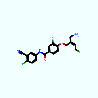 N#Cc1cc(NC(=O)c2ccc(OC/C(=C\CF)CN)c(Cl)c2)ccc1F